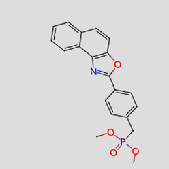 COP(=O)(Cc1ccc(-c2nc3c(ccc4ccccc43)o2)cc1)OC